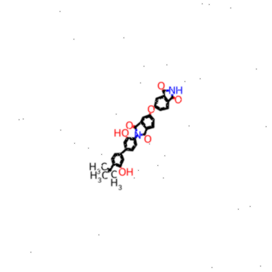 CC(C)(C)c1ccc(-c2ccc(N3C(=O)c4ccc(Oc5ccc6c(c5)C(=O)NC6=O)cc4C3=O)c(O)c2)cc1O